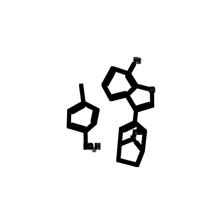 CCCCN1C2C=C(c3coc4c(CC)cccc34)CC1CC2.Cc1ccc(S(=O)(=O)O)cc1